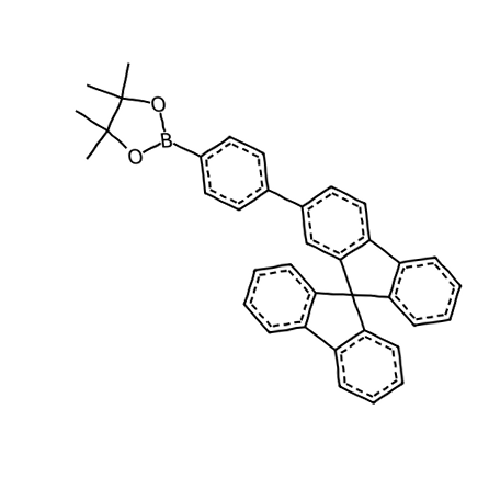 CC1(C)OB(c2ccc(-c3ccc4c(c3)C3(c5ccccc5-c5ccccc53)c3ccccc3-4)cc2)OC1(C)C